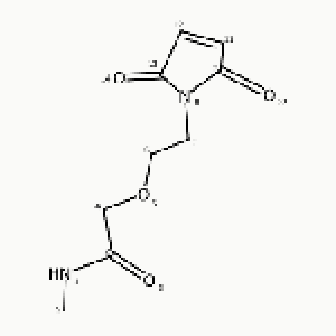 CNC(=O)COCCN1C(=O)C=CC1=O